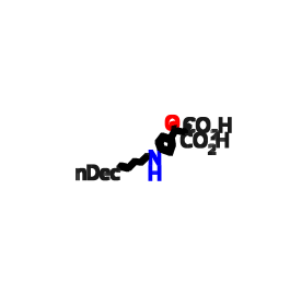 CCCCCCCCCCC=CCCCNc1ccc(C(=O)C(C(=O)O)C(=O)O)cc1